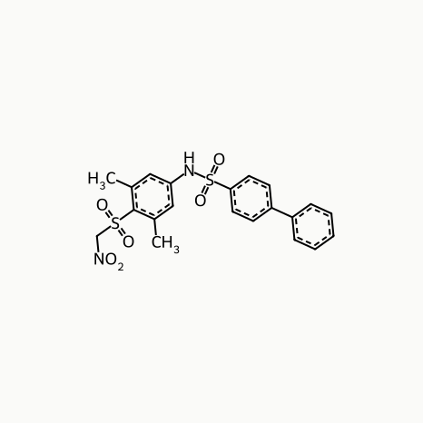 Cc1cc(NS(=O)(=O)c2ccc(-c3ccccc3)cc2)cc(C)c1S(=O)(=O)C[N+](=O)[O-]